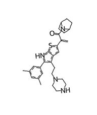 C=C(C(=O)N1C2CCC1CC2)c1cc2c(CCN3CCNCC3)c(-c3cc(C)cc(C)c3)[nH]c2s1